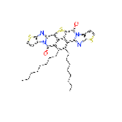 CCCCCCCCc1c(CCCCCCCC)c2c3c(sc4c3c1c(=O)n1c3ccsc3nc41)c(=O)n1c3ccsc3nc21